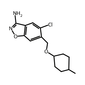 CC1CCC(OCc2cc3onc(N)c3cc2Cl)CC1